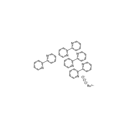 [Cl-].[Cl-].[Cl-].[Ru+3].c1ccc(-c2ccccn2)nc1.c1ccc(-c2ccccn2)nc1.c1ccc(-c2ccccn2)nc1.c1ccc(-c2ccccn2)nc1